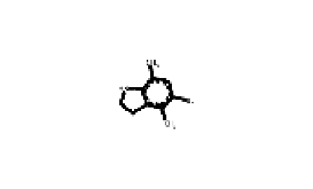 CCc1cc(C)c2c(c1C)CCN2